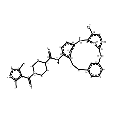 Cc1noc(C)c1C(=O)N1CCC(C(=O)Nc2ccc3cc2CCc2cccc(c2)Nc2ncc(Cl)c(n2)N3)CC1